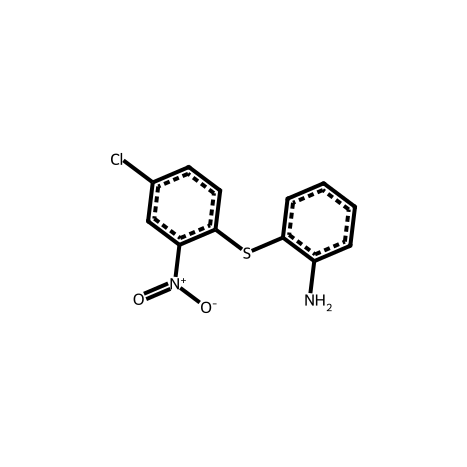 Nc1ccccc1Sc1ccc(Cl)cc1[N+](=O)[O-]